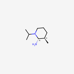 CC(C)N1CCC[C@@H](C)[C@@H]1N